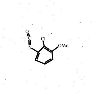 COc1cccc(N=C=O)c1Cl